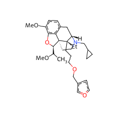 CC[C@]1(CCCOCc2ccoc2)[C@@H]2Cc3ccc(OC)c4c3[C@]1(CCN2CC1CC1)[C@@H](C(C)OC)O4